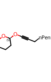 CCCCCCC#CO[C@H]1CCCCO1